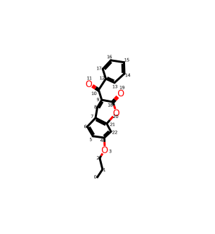 CCCOc1ccc2cc(C(=O)c3ccccc3)c(=O)oc2c1